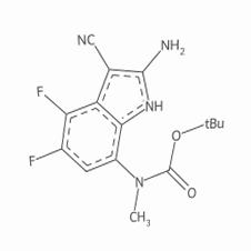 CN(C(=O)OC(C)(C)C)c1cc(F)c(F)c2c(C#N)c(N)[nH]c12